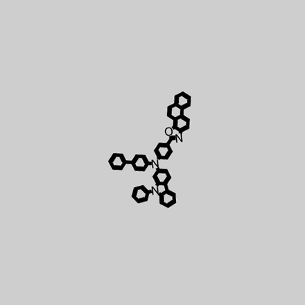 c1ccc(-c2ccc(N(c3ccc(-c4nc5ccc6c7ccccc7ccc6c5o4)cc3)c3ccc4c5ccccc5n(-c5ccccc5)c4c3)cc2)cc1